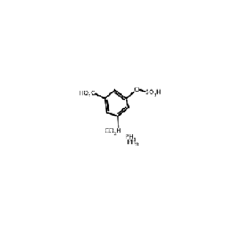 O=C(O)c1cc(OS(=O)(=O)O)cc(C(=O)O)c1.P.P